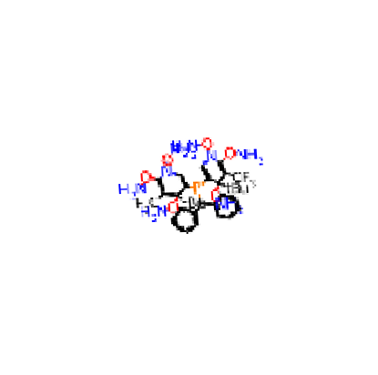 CC(C)(C)C1(ON)C(P(C2=CN(ON)C(ON)=C(C(F)(F)F)C2(ON)C(C)(C)C)C(c2ccccc2)c2ccccc2)=CN(ON)C(ON)=C1C(F)(F)F